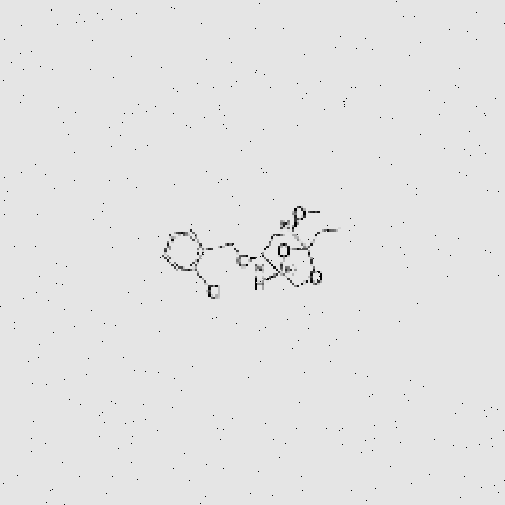 CCC12OC[C@@H](O1)[C@@H](OCc1ccccc1Cl)C[C@H]2OC